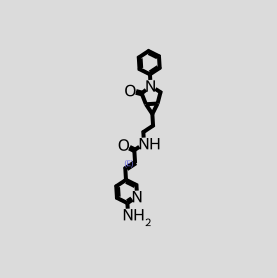 Nc1ccc(/C=C/C(=O)NCCC2C3CN(c4ccccc4)C(=O)C23)cn1